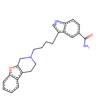 NC(=O)c1ccc2[nH]cc(CCCCN3CCc4c(oc5ccccc45)C3)c2c1